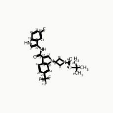 CC(C)(C)OC(=O)N1CC(n2cc(C(=O)Nc3c[nH]c4ccc(F)cc34)c3ccc(C(F)(F)F)cc32)C1